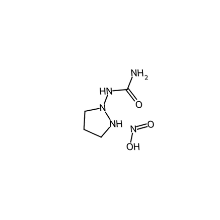 NC(=O)NN1CCCN1.O=NO